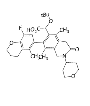 Cc1c(-c2c(C)c3c(c(C)c2[C@@H](OC(C)(C)C)C(=O)O)CC(=O)N(C2CCOCC2)C3)cc(F)c2c1CCCO2